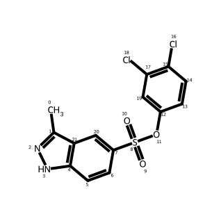 Cc1n[nH]c2ccc(S(=O)(=O)Oc3ccc(Cl)c(Cl)c3)cc12